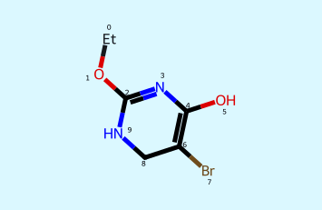 CCOC1=NC(O)=C(Br)[CH]N1